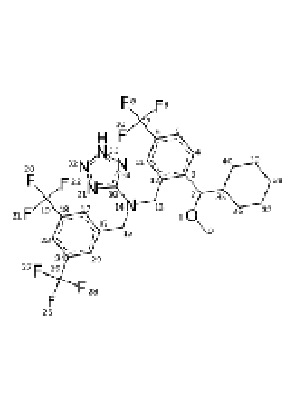 COC(c1ccc(C(F)(F)F)cc1CN(Cc1cc(C(F)(F)F)cc(C(F)(F)F)c1)c1nn[nH]n1)C1CCCCC1